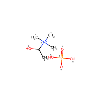 CC(O)[N+](C)(C)C.O=P([O-])(O)O